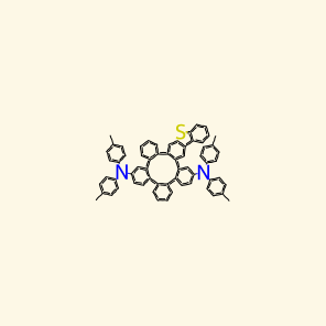 Cc1ccc(N(c2ccc(C)cc2)c2ccc3c4ccccc4c4ccc(N(c5ccc(C)cc5)c5ccc(C)cc5)cc4c4cc5c(cc4c4ccccc4c3c2)sc2ccccc25)cc1